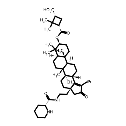 CC(C)C1=C2[C@H]3CC[C@@H]4[C@@]5(C)CC[C@H](OC(=O)[C@H]6C[C@@H](C(=O)O)C6(C)C)C(C)(C)[C@@H]5CC[C@@]4(C)[C@]3(C)CC[C@@]2(CCNC(=O)[C@H]2CCCCN2)CC1=O